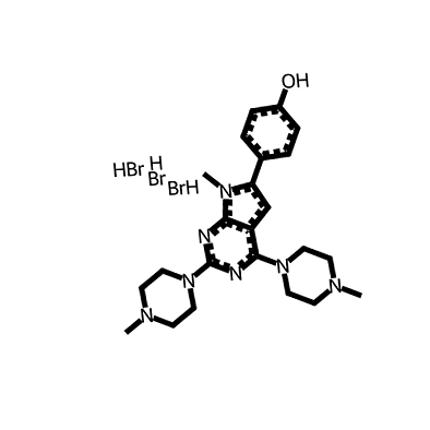 Br.Br.Br.CN1CCN(c2nc(N3CCN(C)CC3)c3cc(-c4ccc(O)cc4)n(C)c3n2)CC1